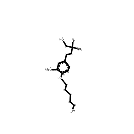 COc1cc(CCC(N)(CO)C(C)C)ccc1OCCCCCC(C)C